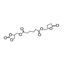 O=C(CCCCC(=O)OCC1COC(=O)O1)OCC1CCC(=O)O1